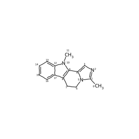 Cc1ncc2n1CCc1c-2n(C)c2ccccc12